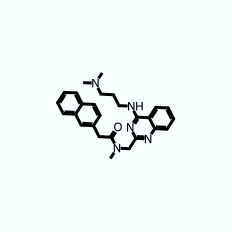 CN(C)CCCNc1nc(CN(C)C(=O)Cc2ccc3ccccc3c2)nc2ccccc12